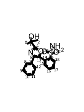 CC(C)(O)c1nc(-c2ccccc2)c(-c2ccccc2S(N)(=O)=O)o1